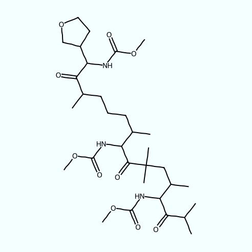 COC(=O)NC(C(=O)C(C)C)C(C)CC(C)(C)C(=O)C(NC(=O)OC)C(C)CCCC(C)C(=O)C(NC(=O)OC)C1CCOC1